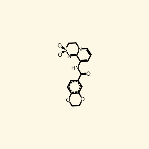 O=C(NC1=CC=CN2CCS(=O)(=O)N=C12)c1ccc2c(c1)OCCO2